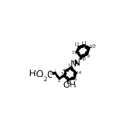 O=C(O)CCc1cc(/N=N/c2ccccc2)ccc1O